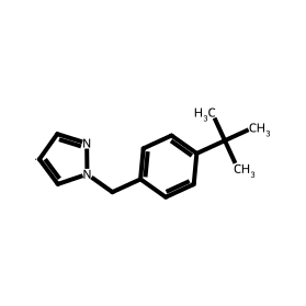 CC(C)(C)c1ccc(Cn2c[c]cn2)cc1